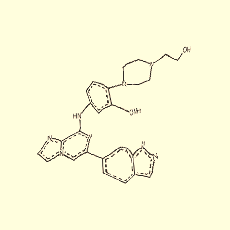 COc1cc(Nc2nc(-c3ccc4cn[nH]c4c3)cn3ccnc23)ccc1N1CCN(CCO)CC1